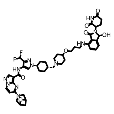 O=C1CCC(N2C(=O)c3c(NCCCOC4CCN(C[C@H]5CC[C@H](n6cc(NC(=O)c7cnn8ccc(N9CC%10CC(C9)O%10)nc78)c(C(F)F)n6)CC5)CC4)cccc3C2O)C(=O)N1